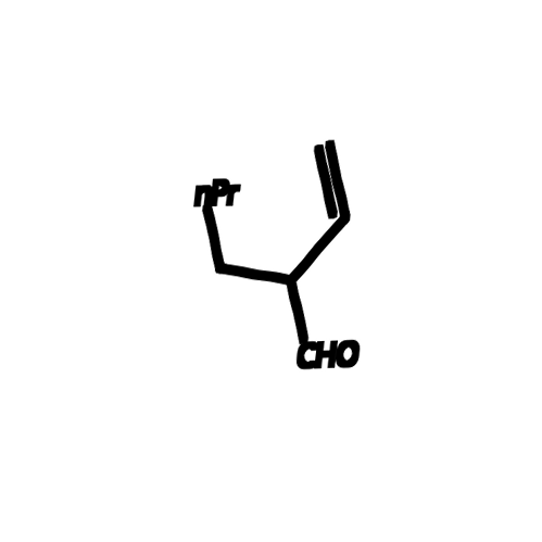 C=CC(C=O)CCCC